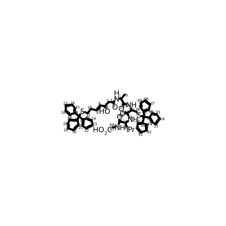 CC(NC(=O)CC(O)C=CCCSC(c1ccccc1)(c1ccccc1)c1ccccc1)C(=O)NC(CSC(c1ccccc1)(c1ccccc1)c1ccccc1)C(=O)NC(C(=O)NCC(=O)O)C(C)C